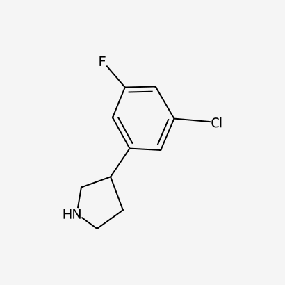 Fc1cc(Cl)cc(C2CCNC2)c1